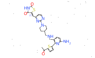 CC(=O)c1ccc(-c2nc(N)ccc2CNCC2CCN(c3nccc(/C=C4\SC(=O)NC4=O)n3)CC2)s1